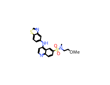 COCCN(C)S(=O)(=O)c1ccc2nccc(Nc3ccc4scnc4c3)c2c1